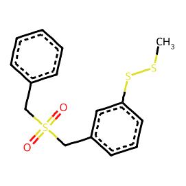 CSSc1cccc(CS(=O)(=O)Cc2ccccc2)c1